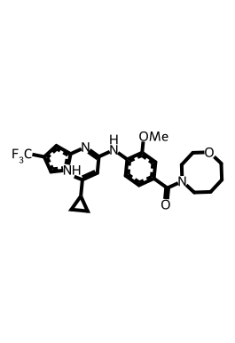 COc1cc(C(=O)N2CCCCOCC2)ccc1NC(/C=C(\C)C1CC1)=N/c1cc(C(F)(F)F)c[nH]1